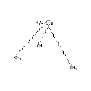 CCCCCCCCCCCCCCCCCCC(CCCCCCCC)c1[nH]cc[n+]1C(C)CCCCCCCCCCCCCCCCC